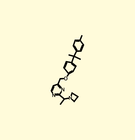 Cc1ccc(C(C)(C)c2ccc(OCc3ccnc(C(C)N4CCC4)n3)cc2)cc1